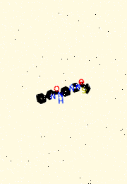 O=C(Nc1ccc(N2CCN(C(=O)c3cccs3)CC2)cc1)c1ccc(-c2ccccc2)cn1